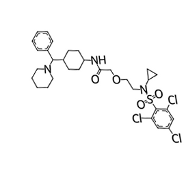 O=C(COCCN(C1CC1)S(=O)(=O)c1c(Cl)cc(Cl)cc1Cl)NC1CCC(C(c2ccccc2)N2CCCCC2)CC1